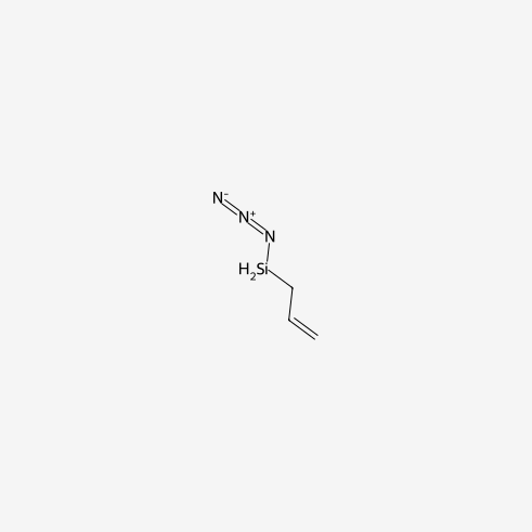 C=CC[SiH2]N=[N+]=[N-]